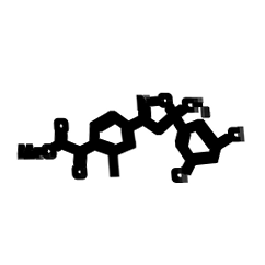 COC(=O)C(=O)c1ccc(C2=NOC(c3cc(Cl)cc(Cl)c3)(C(F)(F)F)C2)cc1C